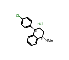 CN[C@H]1CC[C@H](c2ccc(Cl)cc2)c2ccccc21.Cl